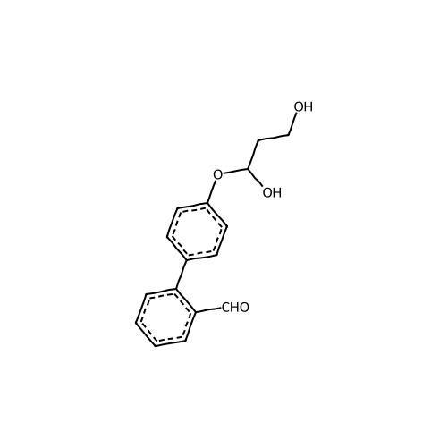 O=Cc1ccccc1-c1ccc(OC(O)CCO)cc1